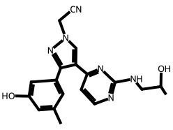 Cc1cc(O)cc(-c2nn(CC#N)cc2-c2ccnc(NCC(C)O)n2)c1